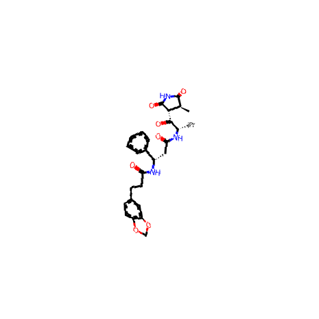 CC(C)[C@H](NC(=O)C[C@H](NC(=O)CCc1ccc2c(c1)OCO2)c1ccccc1)C(=O)[C@@H]1C(=O)NC(=O)[C@H]1C